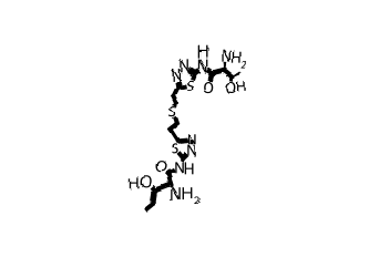 CC=C(O)[C@H](N)C(=O)Nc1nnc(CCSCCc2nnc(NC(=O)[C@@H](N)[C@@H](C)O)s2)s1